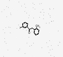 Cc1ccccc1CC(=O)c1cccc(I)c1